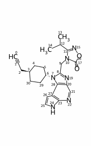 C#CC[C@H]1CC[C@H](n2c(Cn3c(C(C)C)noc3=O)nc3cnc4[nH]ccc4c32)CC1